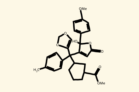 COC(=O)C1CCCC(C(C2=COCO2)(C2=CC(=O)OC2(O)c2ccc(OC)cc2)c2ccc(C)cc2)C1